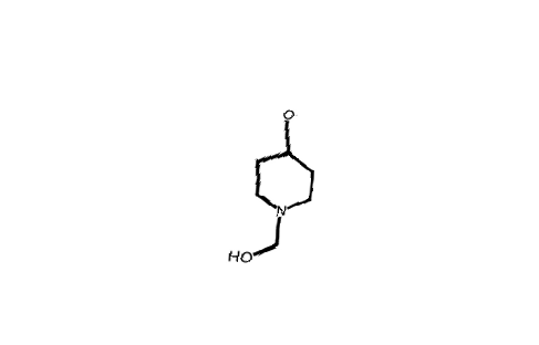 [O]C1CCN(CO)CC1